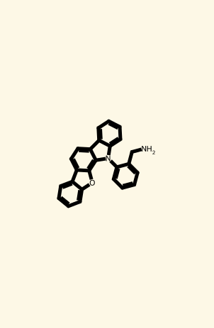 NCc1ccccc1-n1c2ccccc2c2ccc3c4ccccc4oc3c21